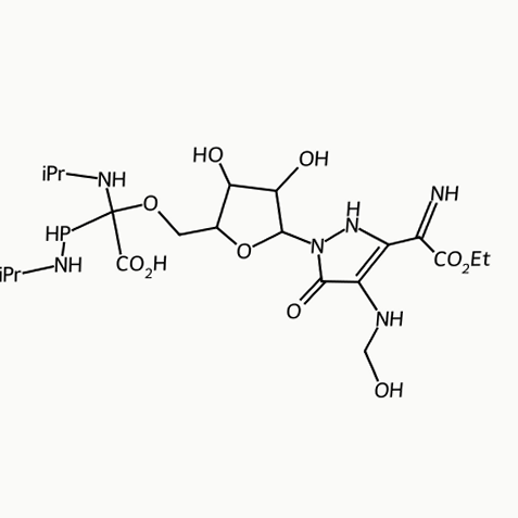 CCOC(=O)C(=N)c1[nH]n(C2OC(COC(NC(C)C)(PNC(C)C)C(=O)O)C(O)C2O)c(=O)c1NCO